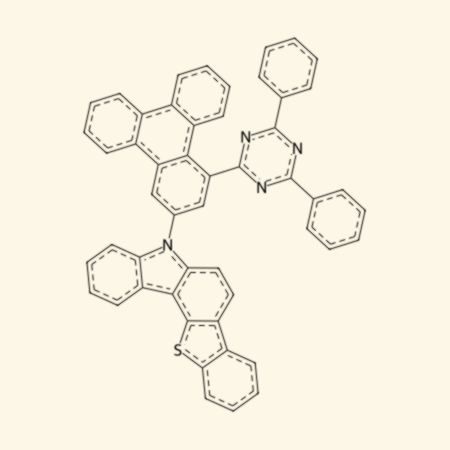 c1ccc(-c2nc(-c3ccccc3)nc(-c3cc(-n4c5ccccc5c5c6sc7ccccc7c6ccc54)cc4c5ccccc5c5ccccc5c34)n2)cc1